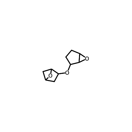 C1C2CC(OC3CCC4OC34)C1O2